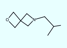 CC(C)CN1CC2(COC2)C1